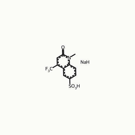 Cn1c(=O)cc(C(F)(F)F)c2cc(S(=O)(=O)O)ccc21.[NaH]